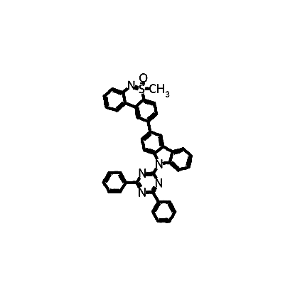 CS1(=O)=Nc2ccccc2-c2cc(-c3ccc4c(c3)c3ccccc3n4-c3nc(-c4ccccc4)nc(-c4ccccc4)n3)ccc21